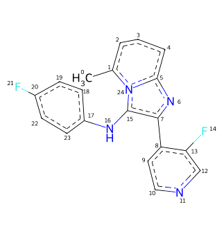 Cc1cccc2nc(-c3ccncc3F)c(Nc3ccc(F)cc3)n12